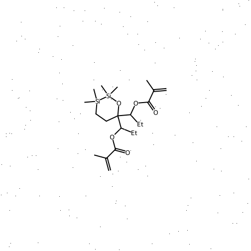 C=C(C)C(=O)OC(CC)C1(C(CC)OC(=O)C(=C)C)CC[Si](C)(C)[Si](C)(C)O1